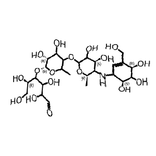 CC1O[C@H](OC(C(O)C(O)C=O)[C@H](O)CO)[C@H](O)C(O)C1OC1O[C@H](C)C(NC2C=C(CO)[C@@H](O)C(O)[C@H]2O)[C@H](O)C1O